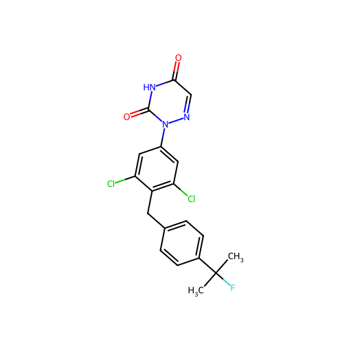 CC(C)(F)c1ccc(Cc2c(Cl)cc(-n3ncc(=O)[nH]c3=O)cc2Cl)cc1